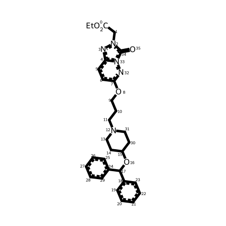 CCOC(=O)Cn1nc2ccc(OCCCN3CCC(OC(c4ccccc4)c4ccccc4)CC3)nn2c1=O